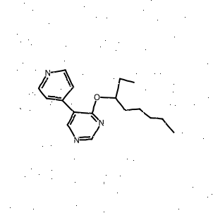 CCCCCC(CC)Oc1ncncc1-c1ccncc1